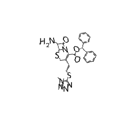 Cn1nnnc1SC=CC1=C(C(=O)OC(c2ccccc2)c2ccccc2)N2C(=O)C(N)C2SC1